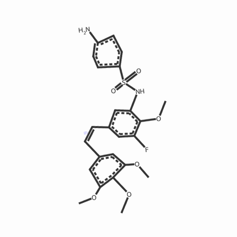 COc1cc(/C=C\c2cc(F)c(OC)c(NS(=O)(=O)c3ccc(N)cc3)c2)cc(OC)c1OC